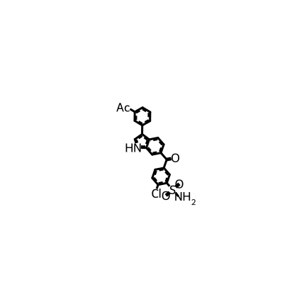 CC(=O)c1cccc(-c2c[nH]c3cc(C(=O)c4ccc(Cl)c(S(N)(=O)=O)c4)ccc23)c1